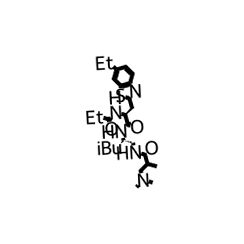 CCC(=O)N[C@@H](Cc1nc2ccc(CC)cc2s1)C(=O)N[C@H](CNC(=O)C(C)CN(C)C)[C@@H](C)CC